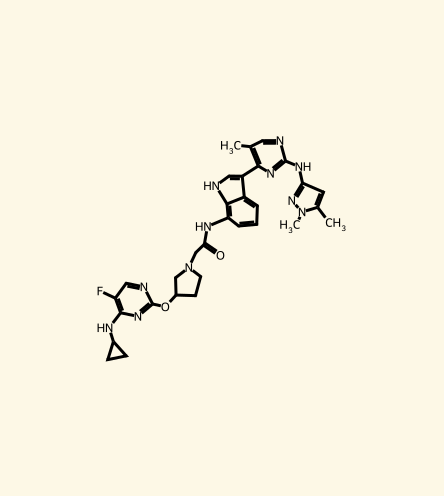 Cc1cnc(Nc2cc(C)n(C)n2)nc1-c1c[nH]c2c(NC(=O)CN3CCC(Oc4ncc(F)c(NC5CC5)n4)C3)cccc12